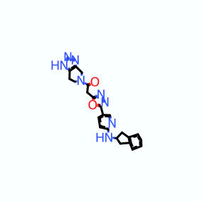 O=C(Cc1nnc(-c2ccc(NC3Cc4ccccc4C3)nc2)o1)N1CCc2[nH]nnc2C1